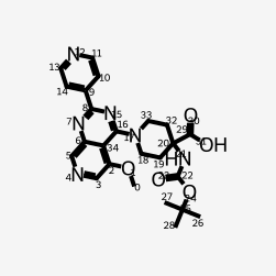 COc1cncc2nc(-c3ccncc3)nc(N3CCC(NC(=O)OC(C)(C)C)(C(=O)O)CC3)c12